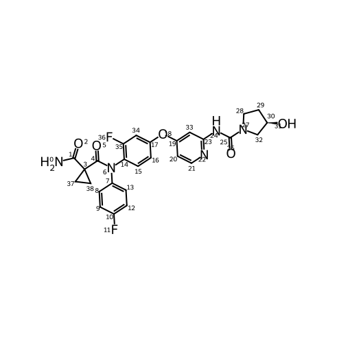 NC(=O)C1(C(=O)N(c2ccc(F)cc2)c2ccc(Oc3ccnc(NC(=O)N4CC[C@@H](O)C4)c3)cc2F)CC1